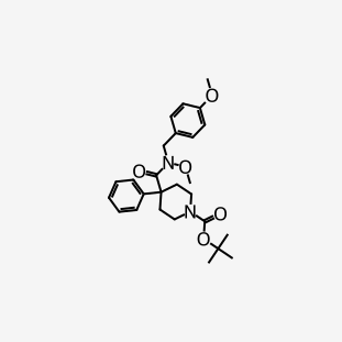 COc1ccc(CN(OC)C(=O)C2(c3ccccc3)CCN(C(=O)OC(C)(C)C)CC2)cc1